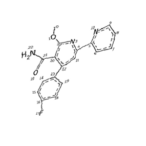 COc1nc(-c2ccccn2)cc(-c2ccc(F)cc2)c1C(N)=O